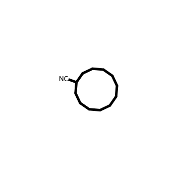 N#CC1CCCCCCCCCCC1